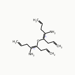 C=CC/C(N)=C(/CC=C)O/C(CC=C)=C(/N)CC=C